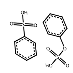 O=S(=O)(O)Oc1ccccc1.O=S(=O)(O)c1ccccc1